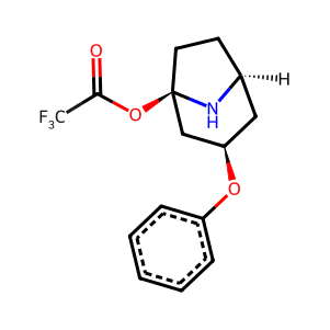 O=C(O[C@]12CC[C@@H](C[C@@H](Oc3ccccc3)C1)N2)C(F)(F)F